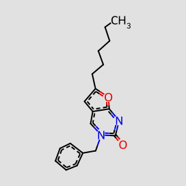 CCCCCCc1cc2cn(Cc3ccccc3)c(=O)nc2o1